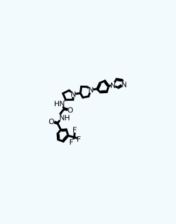 O=C(CNC(=O)c1cccc(C(F)(F)F)c1)N[C@@H]1CCN(C2CCN(c3ccc(-n4ccnc4)cc3)CC2)C1